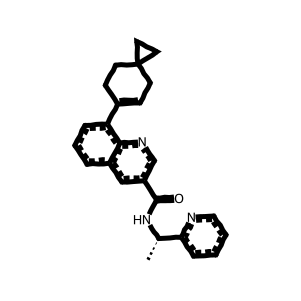 C[C@H](NC(=O)c1cnc2c(C3=CCC4(CC3)CC4)cccc2c1)c1ccccn1